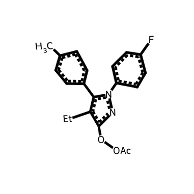 CCc1c(OOC(C)=O)nn(-c2ccc(F)cc2)c1-c1ccc(C)cc1